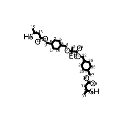 CCC(C)(OCC1CCC(COC(=O)CC(C)S)CC1)C(=O)OCC1CCC(COC(=O)CC(C)S)CC1